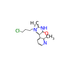 C=C1NC(=O)C(c2cccnc2C)=CN1CCCCCl